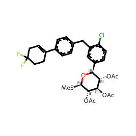 CS[C@H]1O[C@@H](c2ccc(Cl)c(Cc3ccc(C4=CCC(F)(F)CC4)cc3)c2)[C@H](OC(C)=O)[C@@H](OC(C)=O)[C@@H]1OC(C)=O